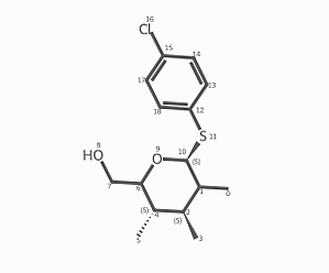 CC1[C@@H](C)[C@H](C)C(CO)O[C@H]1Sc1ccc(Cl)cc1